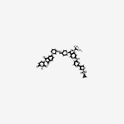 CC(C)n1nc(N2CCC(CN[C@@H]3CCCN(c4ccc5c(c4)C(=O)N(C4CCC(=O)NC4=O)C5=O)C3)CC2)c2cnc(Nc3ccnc(-c4cnn(S(=O)(=O)C5CC5)c4)n3)cc21